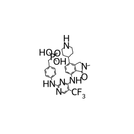 CN1Cc2c(C3CCNCC3)ccc(Nc3nc(Nc4ccc(CP(=O)(O)O)cc4)ncc3C(F)(F)F)c2C1=O